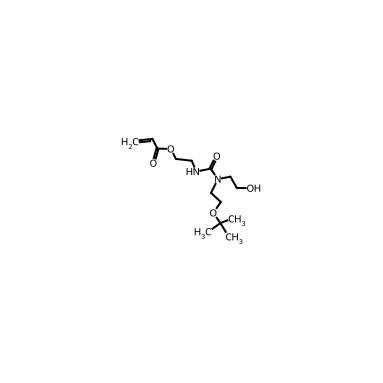 C=CC(=O)OCCNC(=O)N(CCO)CCOC(C)(C)C